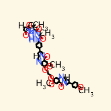 COc1ccc(C2=CN3C(=O)c4cc(OC)c(OCCCOc5cc6c(cc5OC)C(=O)N5C=C(c7ccc(NC(=O)[C@H](C)NC(=O)[C@@H](NN8C(=O)CCC8=O)C(C)C)cc7)C[C@H]5C=N6)cc4N=C[C@@H]3C2)cc1